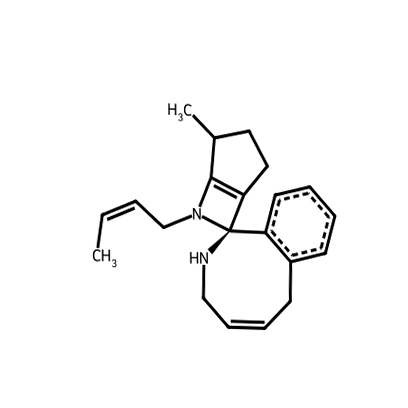 C/C=C\CN1C2=C(CCC2C)[C@@]12NC/C=C\Cc1ccccc12